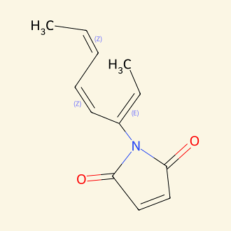 C\C=C/C=C\C(=C/C)N1C(=O)C=CC1=O